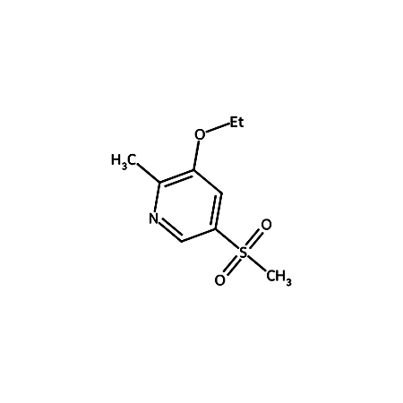 CCOc1cc(S(C)(=O)=O)cnc1C